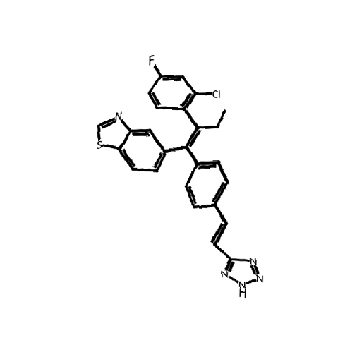 CCC(=C(c1ccc(C=Cc2nn[nH]n2)cc1)c1ccc2scnc2c1)c1ccc(F)cc1Cl